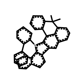 CC1(C)c2ccccc2-c2c3c1cccc3cc1c3ccc4ccccc4c3n(-c3ccccc3-c3ccccc3)c21